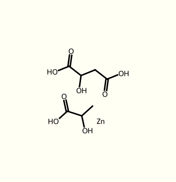 CC(O)C(=O)O.O=C(O)CC(O)C(=O)O.[Zn]